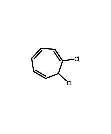 ClC1=CC=CC=CC1Cl